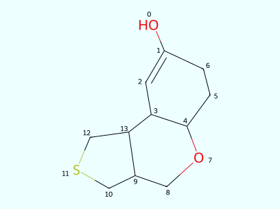 OC1=CC2C(CC1)OCC1CSCC12